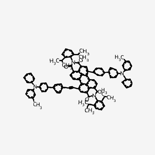 Cc1cccc(N(c2ccccc2)c2ccc(-c3ccc(C#Cc4cc5c6c(ccc7c8c(-c9ccc(-c%10ccc(N(c%11ccccc%11)c%11cccc(C)c%11)cc%10)cc9)cc9c%10c(ccc(c4c67)c%108)C(=O)N(c4c(C(C)C)cccc4C(C)C)C9=O)C(=O)N(c4c(C(C)C)cccc4C(C)C)C5=O)cc3)cc2)c1